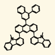 Cn1c2ccccc2c2cccc(-c3cccc4c(-c5cc(-c6ccccc6)c6ccccc6c5)c5cccc(-c6cccc7c8ccccc8n(C)c67)c5cc34)c21